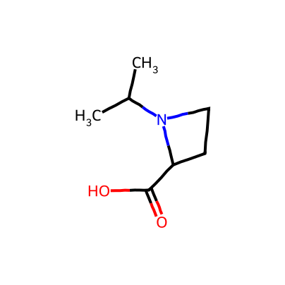 CC(C)N1CCC1C(=O)O